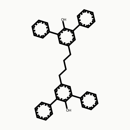 Oc1c(-c2ccccc2)cc(CCCCc2cc(-c3ccccc3)c(O)c(-c3ccccc3)c2)cc1-c1ccccc1